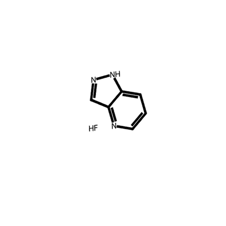 F.c1cnc2cn[nH]c2c1